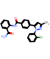 NC(=O)c1ccccc1NC(=O)c1ccc(-c2cc(C(F)(F)F)nn2-c2ccccc2Cl)cc1